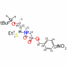 CCS[C@@H]1[C@H]([C@@H](C)O[Si](C)(C)C(C)(C)C)C[N+]1([O-])CC(=O)OCc1ccc([N+](=O)[O-])cc1